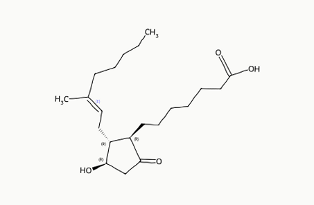 CCCCC/C(C)=C/C[C@H]1[C@H](O)CC(=O)[C@@H]1CCCCCCC(=O)O